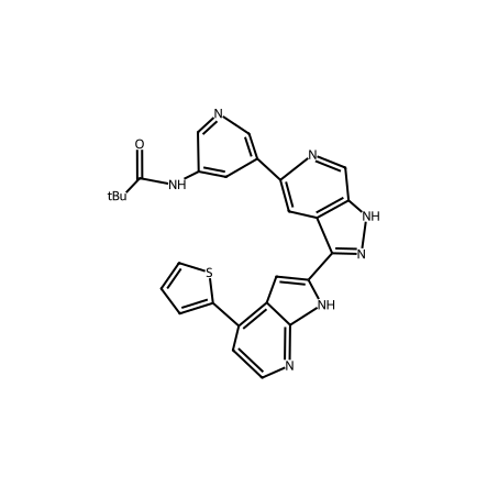 CC(C)(C)C(=O)Nc1cncc(-c2cc3c(-c4cc5c(-c6cccs6)ccnc5[nH]4)n[nH]c3cn2)c1